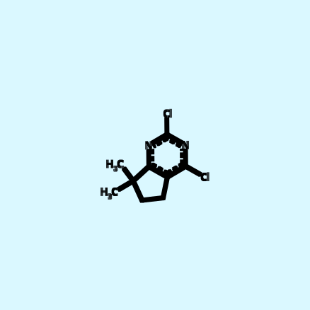 CC1(C)CCc2c(Cl)nc(Cl)nc21